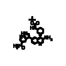 CNC(=O)c1cnc2[nH]cc(-c3ccc4ncc(N)c(N5CCC[C@H](NC(=O)OC(C)(C)C)C5)c4c3)c2c1